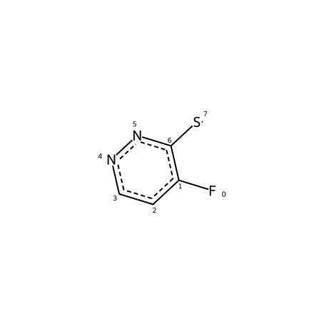 Fc1ccnnc1[S]